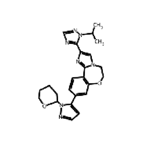 CC(C)n1ncnc1-c1cn2c(n1)-c1ccc(-c3ccnn3C3CCCCO3)cc1OCC2